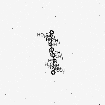 Cc1c(-c2cnc(C(C)NC(=O)[C@@H](NC(=O)O)c3ccccc3)[nH]2)cnc(-c2ccc(-c3cnc(C(C)NC(=O)[C@@H](NC(=O)O)c4ccccc4)[nH]3)cn2)c1C